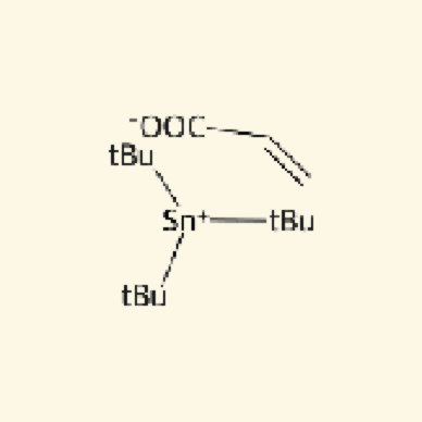 C=CC(=O)[O-].C[C](C)(C)[Sn+]([C](C)(C)C)[C](C)(C)C